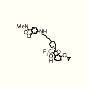 CNC(=O)c1ccc(NCCCCC2CCN(C(=O)[C@@](O)(c3cccc(OC4CC4)c3)C(F)(F)F)CC2)cc1Cl